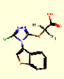 CC(C)(Sc1nnc(Br)n1-c1csc2ccccc12)C(=O)O